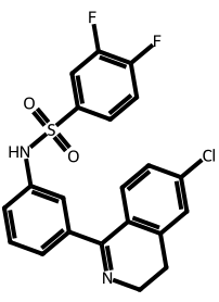 O=S(=O)(Nc1cccc(C2=NCCc3cc(Cl)ccc32)c1)c1ccc(F)c(F)c1